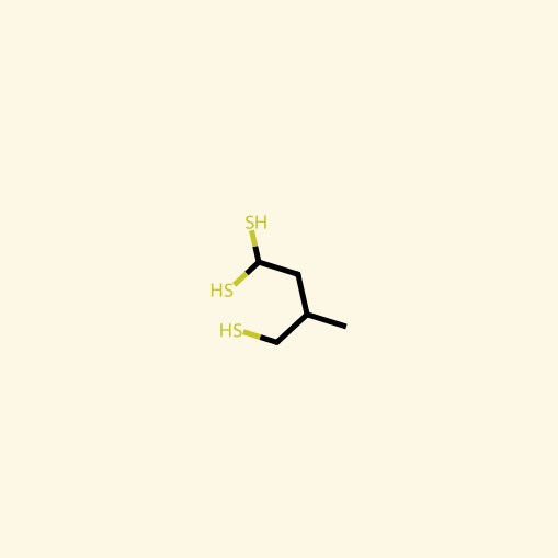 CC(CS)CC(S)S